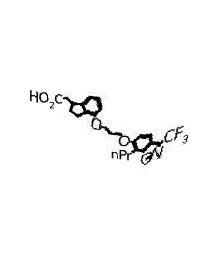 CCCc1c(OCCCOc2cccc3c2CCC3CC(=O)O)ccc2c(C(F)(F)F)noc12